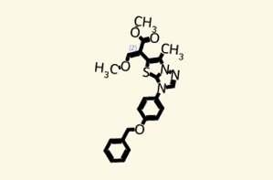 CO/C=C(/C(=O)OC)C1=C(C)N2N=CN(c3ccc(OCc4ccccc4)cc3)C2S1